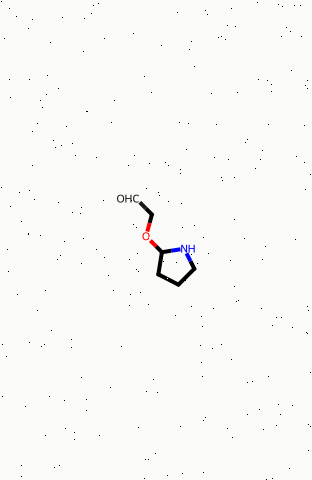 O=CCOC1CCCN1